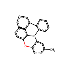 Cc1ccc2c(c1)B(c1ccccc1-c1ccccc1)c1ccccc1O2